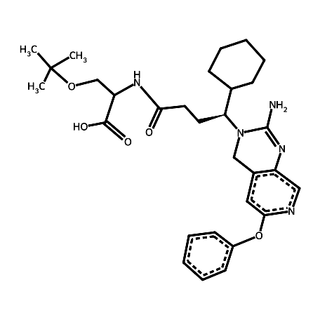 CC(C)(C)OCC(NC(=O)CC[C@@H](C1CCCCC1)N1Cc2cc(Oc3ccccc3)ncc2N=C1N)C(=O)O